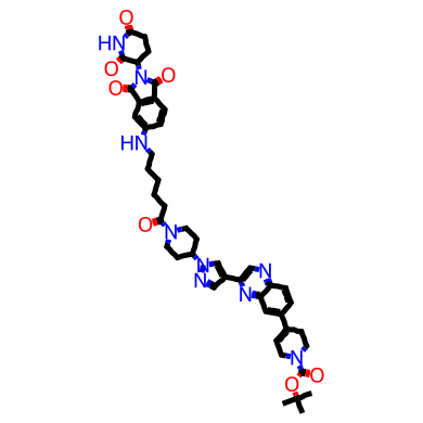 CC(C)(C)OC(=O)N1CC=C(c2ccc3ncc(-c4cnn(C5CCN(C(=O)CCCCCNc6ccc7c(c6)C(=O)N(C6CCC(=O)NC6=O)C7=O)CC5)c4)nc3c2)CC1